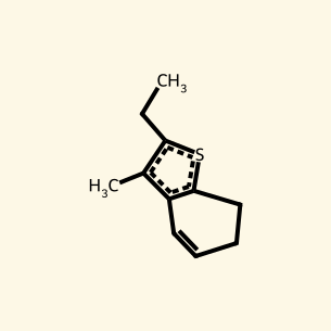 CCc1sc2c(c1C)C=CCC2